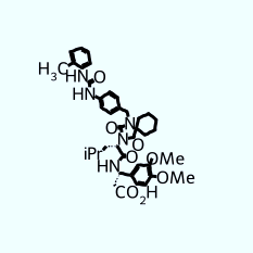 COc1ccc([C@H](CC(=O)O)NC(=O)[C@H](CC(C)C)N2C(=O)N(Cc3ccc(NC(=O)Nc4ccccc4C)cc3)C3(CCCCC3)C2=O)cc1OC